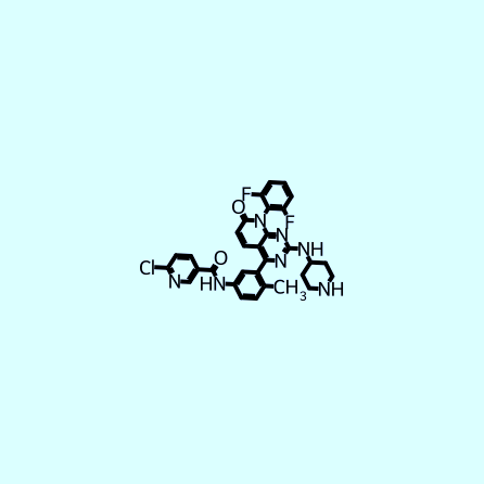 Cc1ccc(NC(=O)c2ccc(Cl)nc2)cc1-c1nc(NC2CCNCC2)nc2c1ccc(=O)n2-c1c(F)cccc1F